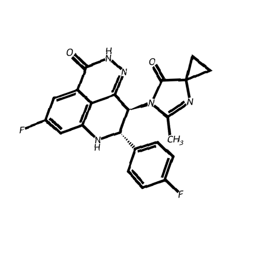 CC1=NC2(CC2)C(=O)N1[C@@H]1c2n[nH]c(=O)c3cc(F)cc(c23)N[C@H]1c1ccc(F)cc1